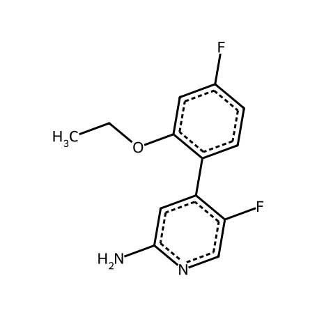 CCOc1cc(F)ccc1-c1cc(N)ncc1F